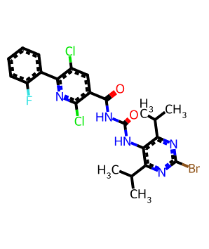 CC(C)c1nc(Br)nc(C(C)C)c1NC(=O)NC(=O)c1cc(Cl)c(-c2ccccc2F)nc1Cl